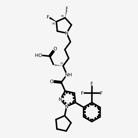 O=C(O)C[C@H](CCCN1C[C@@H](F)[C@H](F)C1)NC(=O)c1cc(-c2ccccc2C(F)(F)F)n(C2CCCC2)n1